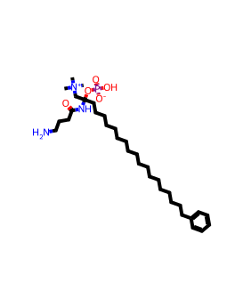 C[N+](C)(C)CC(CCCCCCCCCCCCCCCCCCc1ccccc1)(NC(=O)CCCN)OP(=O)([O-])O